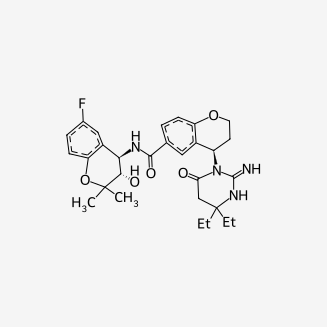 CCC1(CC)CC(=O)N([C@@H]2CCOc3ccc(C(=O)N[C@@H]4c5cc(F)ccc5OC(C)(C)[C@H]4O)cc32)C(=N)N1